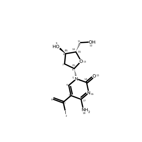 C=C(I)c1cn([C@@H]2C[C@@H](O)[C@H](CO)O2)c(=O)nc1N